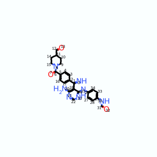 N=C(c1ccc(C(=O)N2CCC(C=O)CC2)cc1)c1c(N)ncnc1Nc1ccc(NC=O)cc1